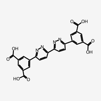 O=C(O)c1cc(C(=O)O)cc(-c2ccc(-c3ccc(-c4cc(C(=O)O)cc(C(=O)O)c4)nn3)nn2)c1